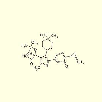 C=C1CC1n1ccc(-c2sc(C)c(C(OC(C)(C)C)C(=O)O)c2C2=CCC(C)(C)CC2)cc1=O